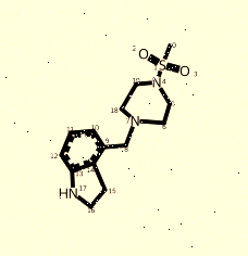 CS(=O)(=O)N1CCN(Cc2cccc3c2CCN3)CC1